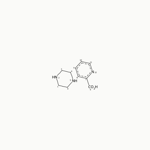 C1CNCCN1.O=C(O)c1ccccn1